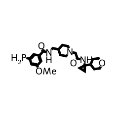 COc1cc(P)cc(C(=O)NCC2CCN(CC(=O)NC3(C4CCOCC4)CC3)CC2)c1